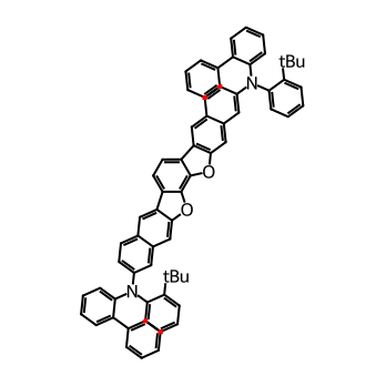 CC(C)(C)c1ccccc1N(c1ccc2cc3c(cc2c1)oc1c3ccc2c3cc4ccc(N(c5ccccc5-c5ccccc5)c5ccccc5C(C)(C)C)cc4cc3oc21)c1ccccc1-c1ccccc1